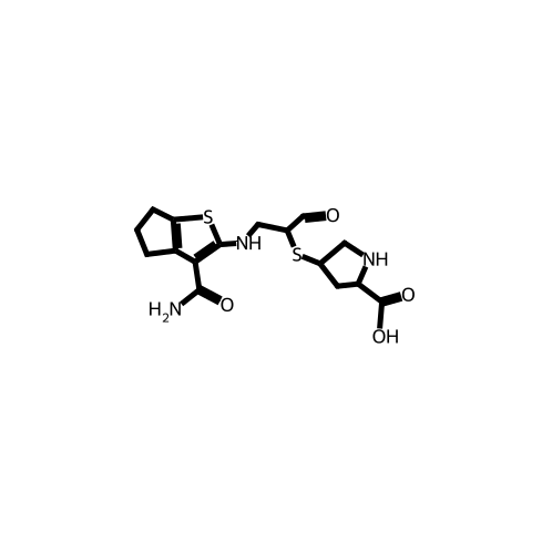 NC(=O)c1c(NCC(C=O)SC2CNC(C(=O)O)C2)sc2c1CCC2